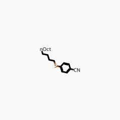 CCCCCCCCCCCCSc1ccc(C#N)cc1